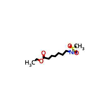 CCOC(=O)CCCCCCNS(C)(=O)=O